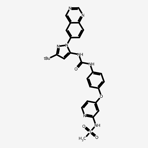 CC(C)(C)c1cc(NC(=O)Nc2ccc(Oc3ccnc(NS(C)(=O)=O)c3)cc2)n(-c2ccc3ncncc3c2)n1